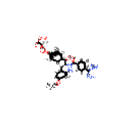 COc1ccc(C[C@H](NC(=O)c2ccc(C(=N)N)cc2)C(=O)c2ccc(OCC(=O)O)cc2)cc1